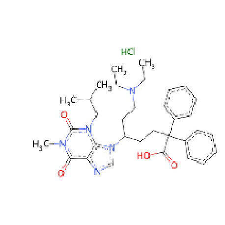 CCN(CC)CCC(CCC(C(=O)O)(c1ccccc1)c1ccccc1)n1cnc2c(=O)n(C)c(=O)n(CC(C)C)c21.Cl